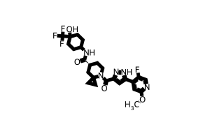 COc1cc(-c2cc(C(=O)N3CC[C@@H](C(=O)NC4CCC(O)(C(F)(F)F)CC4)CC34CC4)n[nH]2)c(F)cn1